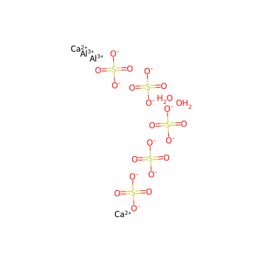 O.O.O=S(=O)([O-])[O-].O=S(=O)([O-])[O-].O=S(=O)([O-])[O-].O=S(=O)([O-])[O-].O=S(=O)([O-])[O-].[Al+3].[Al+3].[Ca+2].[Ca+2]